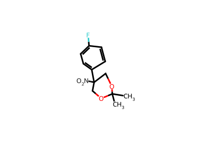 CC1(C)OCC(c2ccc(F)cc2)([N+](=O)[O-])CO1